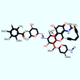 CC#C/C=C\C#C[C@H](O[C@@H]1O[C@H](C)[C@@H](NO[C@H]2C[C@H](O)[C@H](SC(=O)c3c(C)c(I)c(OC)c(OC)c3OC)C(C)O2)[C@H](O)[C@H]1O[C@H]1C[C@H](OC)[C@@H](NCC)CO1)C1=C(NC(=O)OC)C(=O)C[C@](C)(O)/C1=C/CSSSC